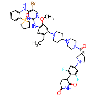 CCc1cc(Nc2ncc(Br)c(Nc3ccccc3P3(=O)CCCC3)n2)c(OC)cc1N1CCC(N2CCN(C(=O)[C@@H]3CCN(c4cc(F)c(C5CCC(=O)NC5=O)c(F)c4)C3)CC2)CC1